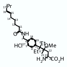 CCC(CC)(c1ccc(CNC(=O)CCCCC=CC(C)C)cc1)C(C)(C[C@H](N)C(=O)O)OC.Cl